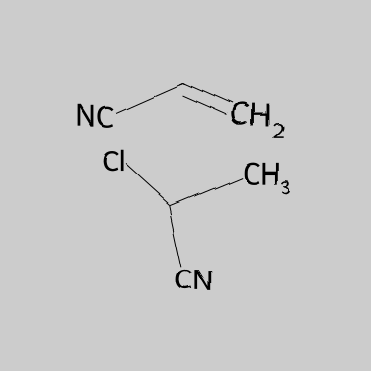 C=CC#N.CC(Cl)C#N